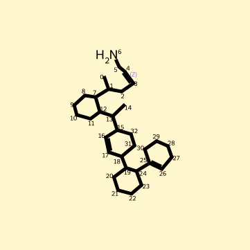 CC(C/C=C\CN)C1CCCCC1C(C)C1C=CC(C2CCCCC2C2=CCCCC2)CC1